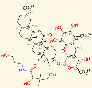 CC(C)(CO)C(O)C(=O)NCCCO.CC1(C)[C@@H](O[C@H]2O[C@H](C(=O)O)[C@@H](O)[C@H](O)[C@H]2O[C@@H]2O[C@H](C(=O)O)[C@@H](O)[C@H](O)[C@H]2O)CC[C@]2(C)[C@H]3C(=O)C=C4[C@@H]5C[C@@](C)(C(=O)O)CC[C@]5(C)CC[C@@]4(C)[C@]3(C)CC[C@@H]12